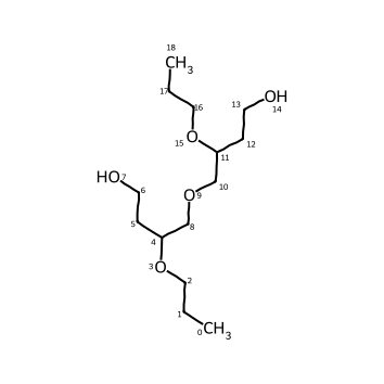 CCCOC(CCO)COCC(CCO)OCCC